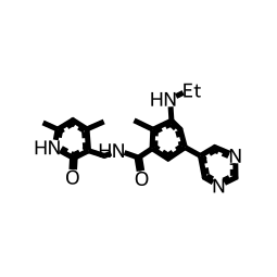 CCNc1cc(-c2cncnc2)cc(C(=O)NCc2c(C)cc(C)[nH]c2=O)c1C